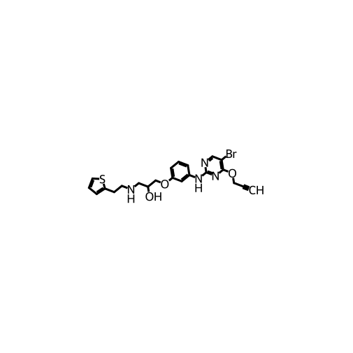 C#CCOc1nc(Nc2cccc(OCC(O)CNCCc3cccs3)c2)ncc1Br